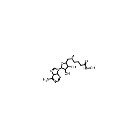 CN(CCCC(=O)NO)CC1OC(N2C=NC3C(N)=NC=NC32)C(O)[C@@H]1O